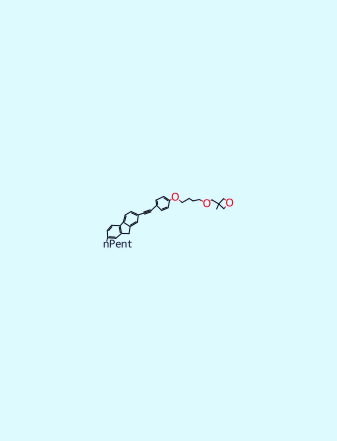 CCCCCc1ccc2c(c1)Cc1cc(C#Cc3ccc(OCCCCOCC4(C)COC4)cc3)ccc1-2